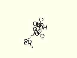 COC(=O)CCCCCO[C@H]1O[C@H](CO)[C@H](OC(=O)c2ccccc2)[C@H](O)[C@H]1OC(=O)c1ccccc1